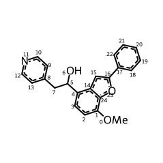 COc1ccc(C(O)Cc2ccncc2)c2cc(-c3ccccc3)oc12